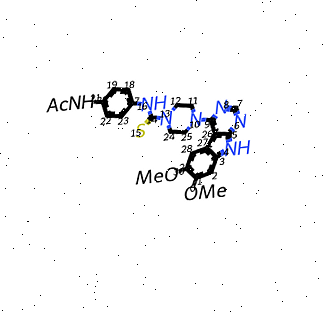 COc1cc2[nH]c3ncnc(N4CCN(C(=S)Nc5ccc(NC(C)=O)cc5)CC4)c3c2cc1OC